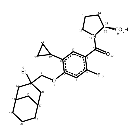 CCC1(COc2cc(F)c(C(=O)N3CCC[C@H]3C(=O)O)cc2C2CC2)CC2CCCC(C2)C1